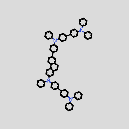 c1ccc(N(c2ccccc2)c2ccc(-c3ccc(N(c4ccccc4)c4ccc(-c5ccc6c(ccc7cc(N(c8ccccc8)c8ccc(-c9ccc(N(c%10ccccc%10)c%10ccccc%10)cc9)cc8)ccc76)c5)cc4)cc3)cc2)cc1